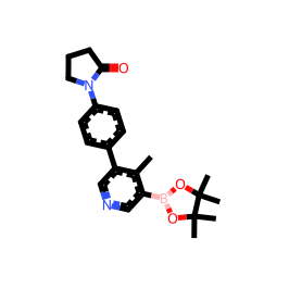 Cc1c(B2OC(C)(C)C(C)(C)O2)cncc1-c1ccc(N2CCCC2=O)cc1